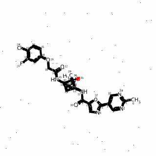 Cc1ncc(-c2ncc(C(=O)NC34CC(NC(=O)COc5ccc(Cl)c(F)c5)([C@@H]3C)[C@@H]4C)o2)cn1